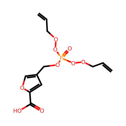 C=CCOOP(=O)(OCc1coc(C(=O)O)c1)OOCC=C